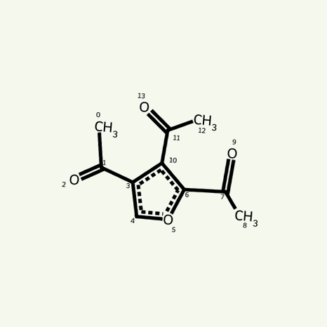 CC(=O)c1coc(C(C)=O)c1C(C)=O